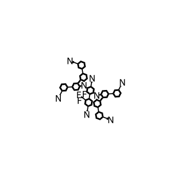 N#Cc1cccc(-c2ccc3c(c2)c2cc(-c4cccc(C#N)c4)ccc2n3-c2cc(-c3ccc(C#N)cc3C(F)(F)F)c(-n3c4ccc(-c5cccc(C#N)c5)cc4c4cc(-c5cccc(C#N)c5)ccc43)cc2C#N)c1